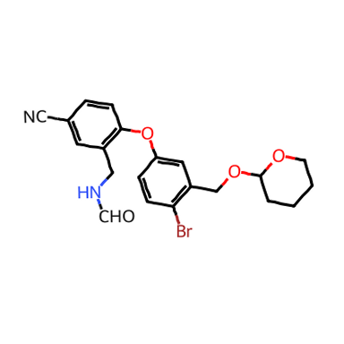 N#Cc1ccc(Oc2ccc(Br)c(COC3CCCCO3)c2)c(CNC=O)c1